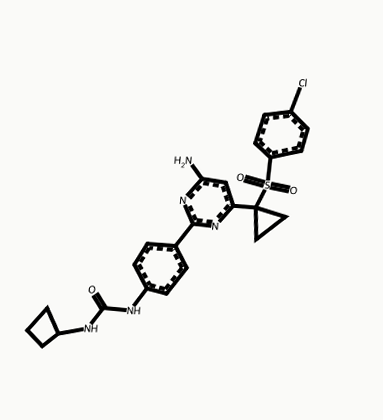 Nc1cc(C2(S(=O)(=O)c3ccc(Cl)cc3)CC2)nc(-c2ccc(NC(=O)NC3CCC3)cc2)n1